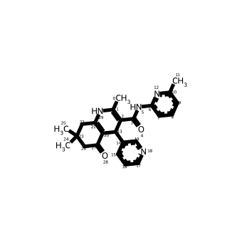 CC1=C(C(=O)Nc2cccc(C)n2)C(c2cccnc2)C2=C(CC(C)(C)CC2=O)N1